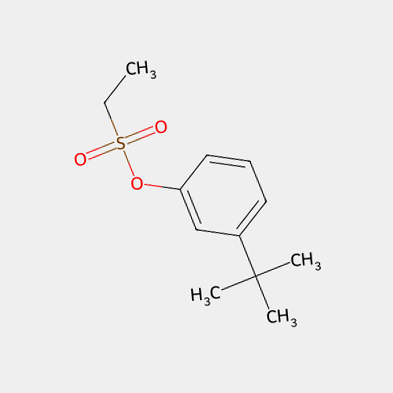 CCS(=O)(=O)Oc1cccc(C(C)(C)C)c1